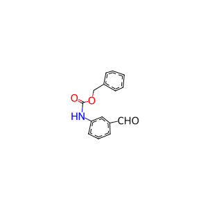 O=Cc1cccc(NC(=O)OCc2ccccc2)c1